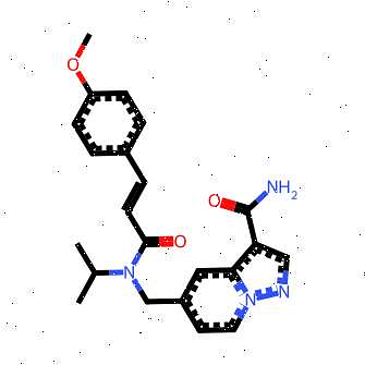 COc1ccc(/C=C/C(=O)N(Cc2ccn3ncc(C(N)=O)c3c2)C(C)C)cc1